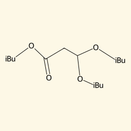 CCC(C)OC(=O)CC(OC(C)CC)OC(C)CC